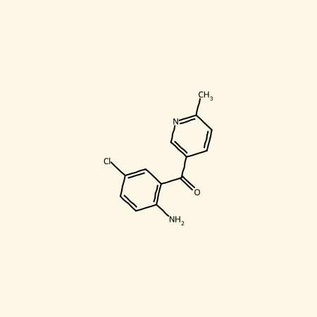 Cc1ccc(C(=O)c2cc(Cl)ccc2N)cn1